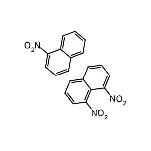 O=[N+]([O-])c1cccc2cccc([N+](=O)[O-])c12.O=[N+]([O-])c1cccc2ccccc12